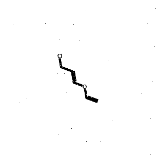 C=COC=CCCl